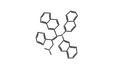 CN(C)C/C(=C(\B(c1ccc2ccccc2c1)c1ccc2ccccc2c1)c1ccc2ccccc2c1)c1ccccc1